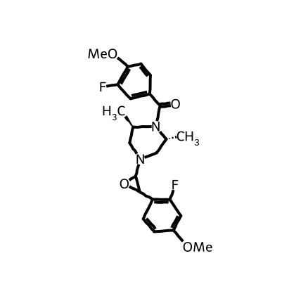 COc1ccc(C2OC2N2C[C@@H](C)N(C(=O)c3ccc(OC)c(F)c3)[C@H](C)C2)c(F)c1